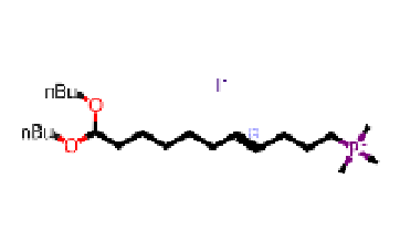 CCCCOC(CCCCC/C=C/CCC[P+](C)(C)C)OCCCC.[I-]